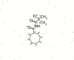 CCC(C)(C)C(=O)NC(=O)C1CCCCCCC1